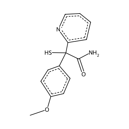 COc1ccc(C(S)(C(N)=O)c2ccccn2)cc1